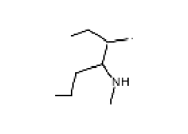 [CH2]C(CC)C(CCC)NC